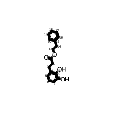 O=C(CCc1cccc(O)c1O)OCCc1ccccc1